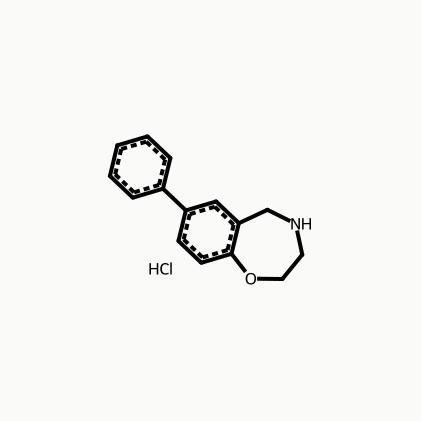 Cl.c1ccc(-c2ccc3c(c2)CNCCO3)cc1